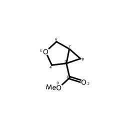 COC(=O)C12COCC1C2